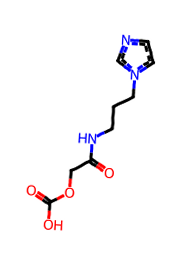 O=C(COC(=O)O)NCCCn1ccnc1